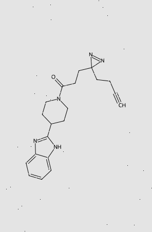 C#CCCC1(CCC(=O)N2CCC(c3nc4ccccc4[nH]3)CC2)N=N1